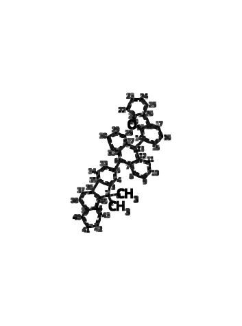 CC1(C)c2cc(-c3c4ccccc4c(-c4cccc5c4oc4ccccc45)c4ccccc34)ccc2-c2ccc3ccccc3c21